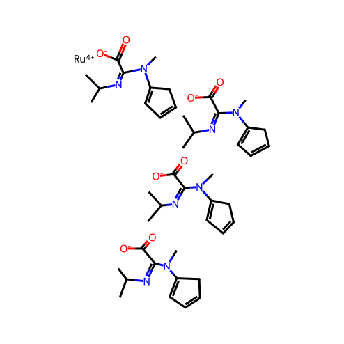 CC(C)N=C(C(=O)[O-])N(C)C1=CC=CC1.CC(C)N=C(C(=O)[O-])N(C)C1=CC=CC1.CC(C)N=C(C(=O)[O-])N(C)C1=CC=CC1.CC(C)N=C(C(=O)[O-])N(C)C1=CC=CC1.[Ru+4]